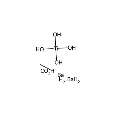 CC(=O)O.[BaH2].[BaH2].[OH][Ti]([OH])([OH])[OH]